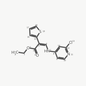 CCOC(=O)/C(=C\Nc1ccnc(Cl)c1)c1cccs1